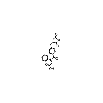 O=C(O)CN(C(=O)c1ccc(CC2SC(=O)NC2=O)cc1)c1ccccc1